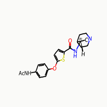 CC(=O)Nc1ccc(Oc2ccc(C(=O)N[C@H]3CN4CCC3CC4)s2)cc1